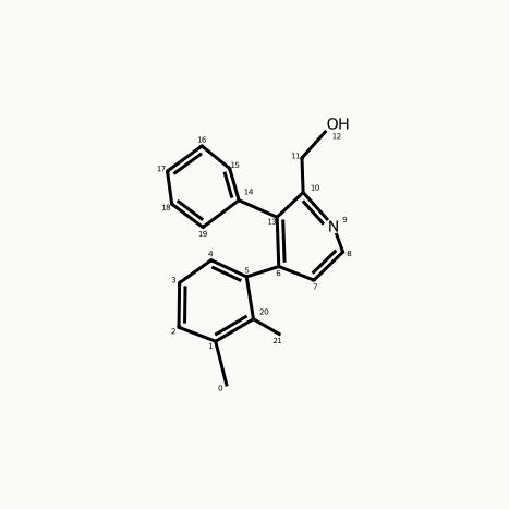 Cc1cccc(-c2ccnc(CO)c2-c2ccccc2)c1C